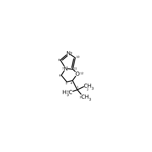 CC(C)(C)C1CCn2cncc2O1